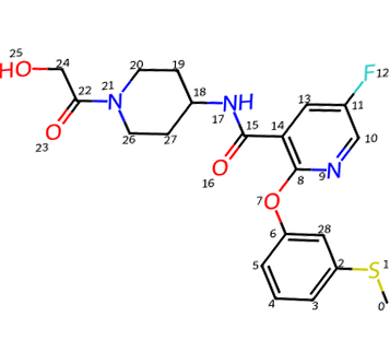 CSc1cccc(Oc2ncc(F)cc2C(=O)NC2CCN(C(=O)CO)CC2)c1